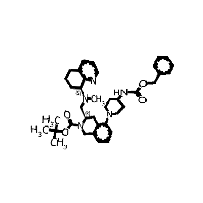 CN(C[C@H]1Cc2c(cccc2N2CCC(NC(=O)OCc3ccccc3)CC2)CN1C(=O)OC(C)(C)C)[C@H]1CCCc2cccnc21